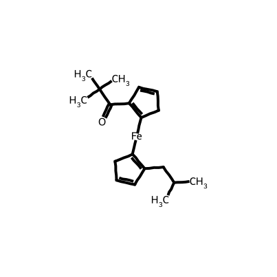 CC(C)CC1=[C]([Fe][C]2=C(C(=O)C(C)(C)C)C=CC2)CC=C1